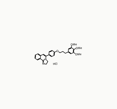 COc1cc(CCCOc2ccc(C3=Cc4ccccc4C4=NCCN34)cc2)cc(OC)c1OC.Cl